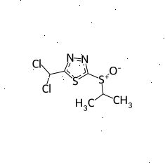 CC(C)[S+]([O-])c1nnc(C(Cl)Cl)s1